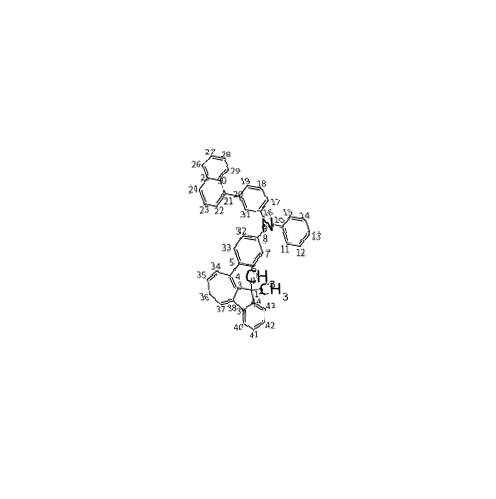 CC1(C)C2=C(c3ccc(N(c4ccccc4)c4cccc(-c5cccc6ccccc56)c4)cc3)C=CCC=C2c2ccccc21